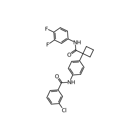 O=C(Nc1ccc(C2(C(=O)Nc3ccc(F)c(F)c3)CCC2)cc1)c1cccc(Cl)c1